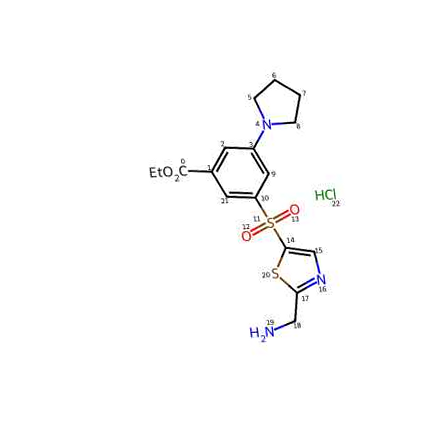 CCOC(=O)c1cc(N2CCCC2)cc(S(=O)(=O)c2cnc(CN)s2)c1.Cl